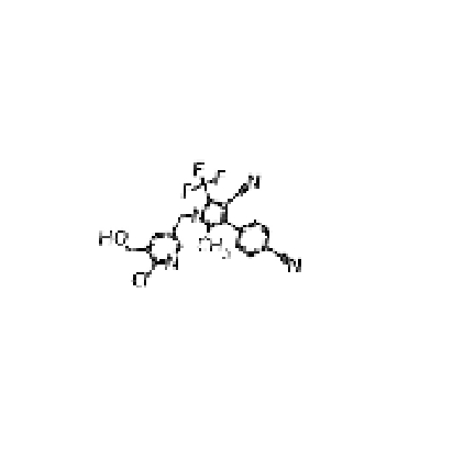 Cc1c(-c2ccc(C#N)cc2)c(C#N)c(C(F)(F)F)n1Cc1cnc(Cl)c(CO)c1